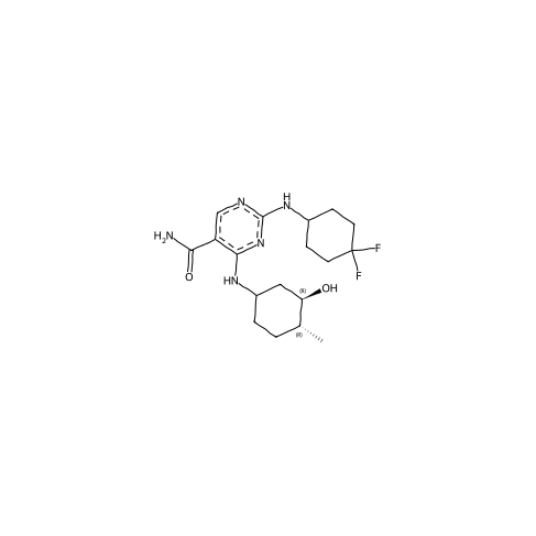 C[C@@H]1CCC(Nc2nc(NC3CCC(F)(F)CC3)ncc2C(N)=O)C[C@H]1O